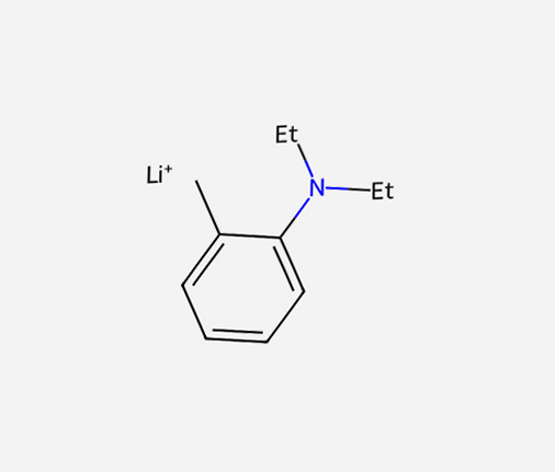 CCN(CC)c1ccccc1C.[Li+]